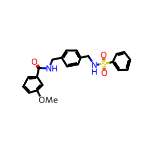 COc1cccc(C(=O)NCc2ccc(CNS(=O)(=O)c3ccccc3)cc2)c1